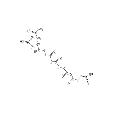 C=C(C)C.C=C(C)C.O=C(O)CCC(=O)OC(=O)CCC(=O)OC(=O)CCC(=O)O